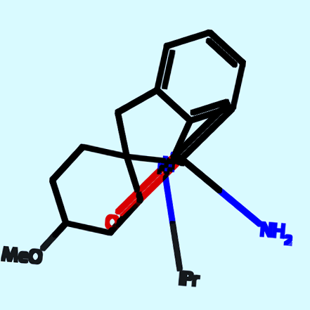 COC1CCC2(CC1)Cc1ccccc1C21N=C(N)N(C(C)C)C1=O